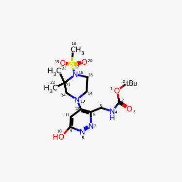 CC(C)(C)OC(=O)NCc1nnc(O)cc1N1CCN(S(C)(=O)=O)C(C)(C)C1